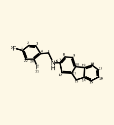 Fc1ccc(CNc2ccc3c(c2)Cc2ccccc2-3)c(F)c1